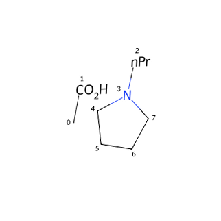 CC(=O)O.CCCN1CCCC1